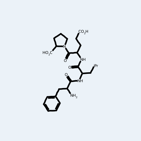 CC(C)CC(NC(=O)C(N)Cc1ccccc1)C(=O)NC(CCC(=O)O)C(=O)N1CCCC1C(=O)O